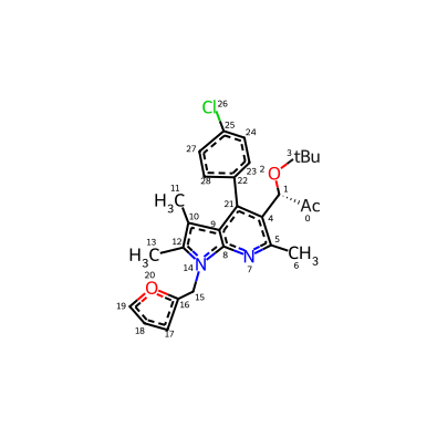 CC(=O)[C@@H](OC(C)(C)C)c1c(C)nc2c(c(C)c(C)n2Cc2ccco2)c1-c1ccc(Cl)cc1